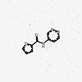 O=C(Nc1ccnnc1)c1ccco1